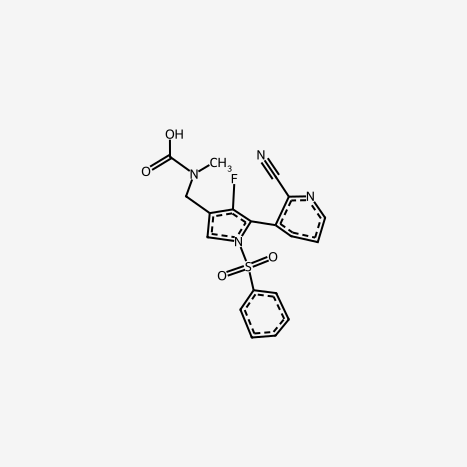 CN(Cc1cn(S(=O)(=O)c2ccccc2)c(-c2cccnc2C#N)c1F)C(=O)O